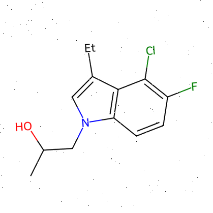 CCc1cn(CC(C)O)c2ccc(F)c(Cl)c12